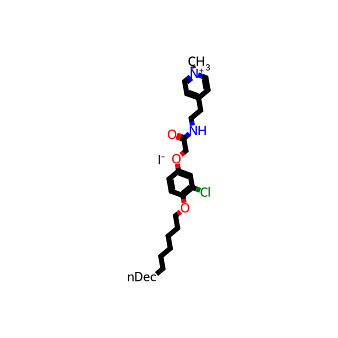 CCCCCCCCCCCCCCCCOc1ccc(OCC(=O)NCCc2cc[n+](C)cc2)cc1Cl.[I-]